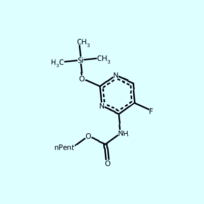 CCCCCOC(=O)Nc1nc(O[Si](C)(C)C)ncc1F